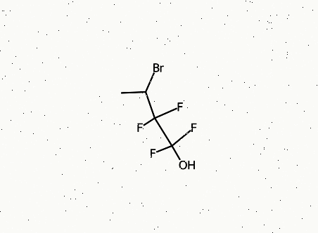 CC(Br)C(F)(F)C(O)(F)F